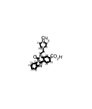 CN1CCN(CCn2c(=O)n3c4ccccc4nc3c3ccc(C(=O)O)cc32)CC1